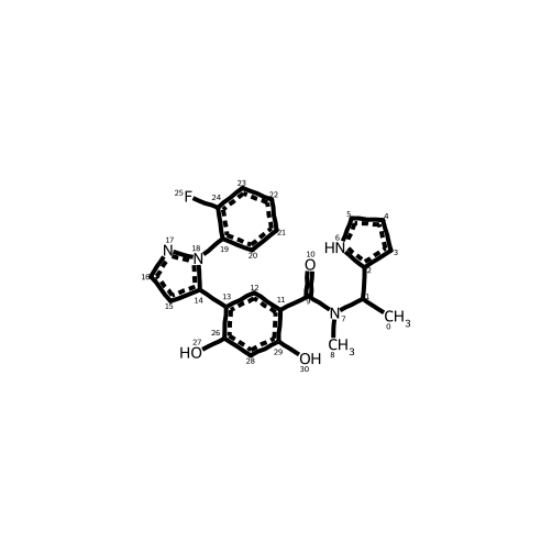 CC(c1ccc[nH]1)N(C)C(=O)c1cc(-c2ccnn2-c2ccccc2F)c(O)cc1O